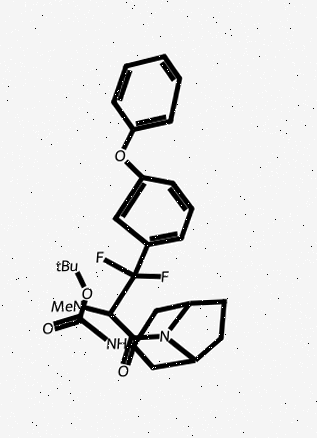 CNC(C(=O)N1C2CCC1CC(NC(=O)OC(C)(C)C)C2)C(F)(F)c1cccc(Oc2ccccc2)c1